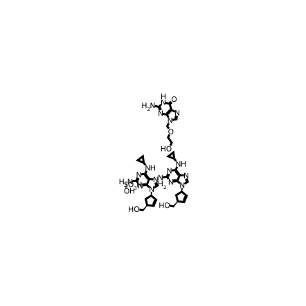 Nc1nc(NC2CC2)c2ncn([C@H]3C=C[C@@H](CO)C3)c2n1.Nc1nc(NC2CC2)c2ncn([C@H]3C=C[C@@H](CO)C3)c2n1.Nc1nc2c(ncn2COCCO)c(=O)[nH]1.O=S(=O)(O)O